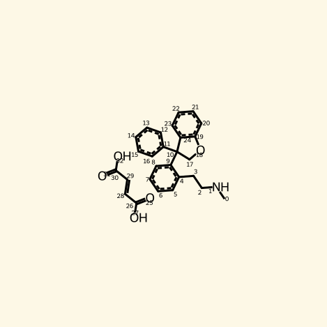 CNCCc1ccccc1C1(c2ccccc2)COc2ccccc21.O=C(O)/C=C/C(=O)O